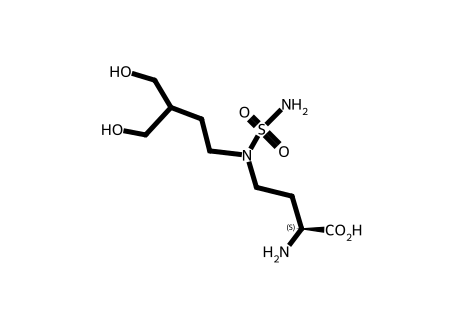 N[C@@H](CCN(CCC(CO)CO)S(N)(=O)=O)C(=O)O